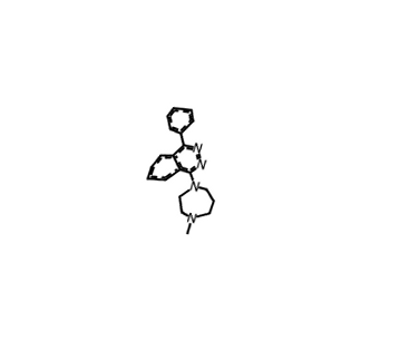 CN1CCCN(c2nnc(-c3ccccc3)c3ccccc23)CC1